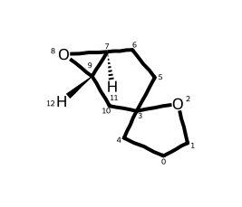 C1COC2(C1)CC[C@@H]1O[C@H]1C2